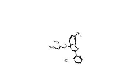 CNC[C@H](O)COc1cc(-c2ccccc2)nc2cc(C)ccc12.Cl